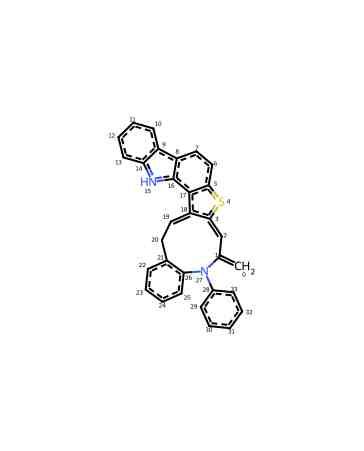 C=C1/C=c2/sc3ccc4c5ccccc5[nH]c4c3/c2=C/Cc2ccccc2N1c1ccccc1